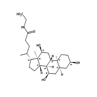 CC(CCC(=O)NCC(=O)O)[C@H]1CC[C@H]2[C@@H]3[C@H](O)C[C@@H]4C[C@H](O)CC[C@]4(C)[C@H]3C[C@H](O)[C@]12C